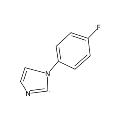 Fc1ccc(-n2[c]ncc2)cc1